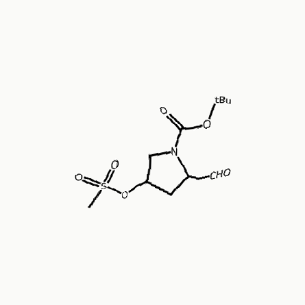 CC(C)(C)OC(=O)N1CC(OS(C)(=O)=O)CC1C=O